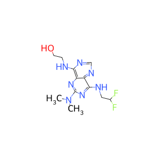 CN(C)c1nc(NCC(F)F)c2ncnc(NCCO)c2n1